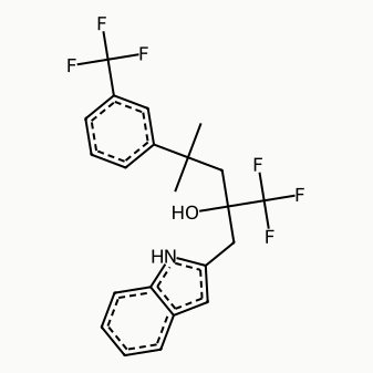 CC(C)(CC(O)(Cc1cc2ccccc2[nH]1)C(F)(F)F)c1cccc(C(F)(F)F)c1